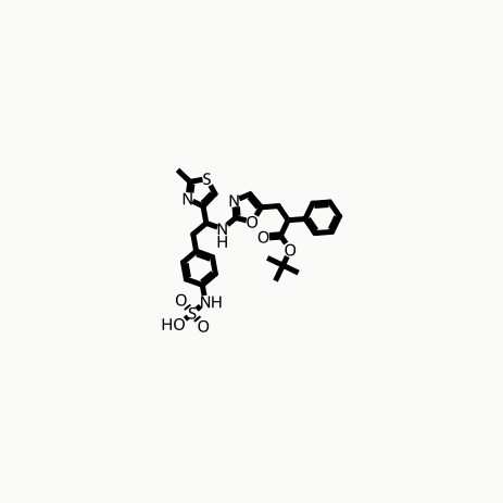 Cc1nc(C(Cc2ccc(NS(=O)(=O)O)cc2)Nc2ncc(CC(C(=O)OC(C)(C)C)c3ccccc3)o2)cs1